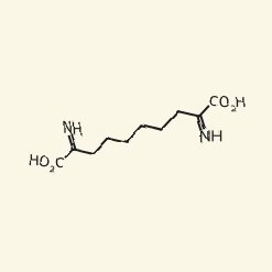 N=C(CCCCCCC(=N)C(=O)O)C(=O)O